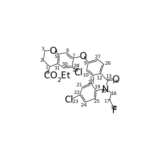 CCOC(=O)C1CCOc2cc(Oc3ccc(C(=O)N(CCF)c4ccc(Cl)cc4)cc3)c(Cl)cc21